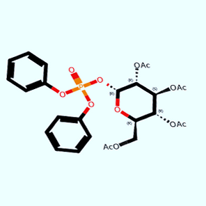 CC(=O)OC[C@H]1O[C@H](OP(=O)(Oc2ccccc2)Oc2ccccc2)[C@H](OC(C)=O)[C@@H](OC(C)=O)[C@@H]1OC(C)=O